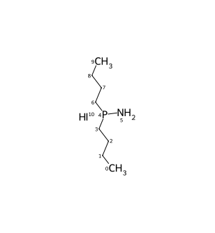 CCCCP(N)CCCC.I